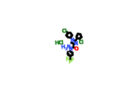 Cl.NN(C(=O)c1cn(-c2ccc(Cl)cc2)c(-c2ccccc2Cl)n1)c1ccc(C(F)(F)F)cc1